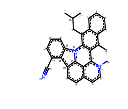 Cc1c2ccccc2c(CC(C)C)c2c1c1c3c(ccc4c5c(C#N)cccc5n2c43)cc[n+]1C